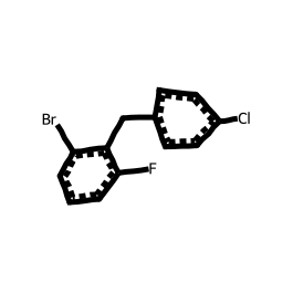 Fc1cccc(Br)c1Cc1ccc(Cl)cc1